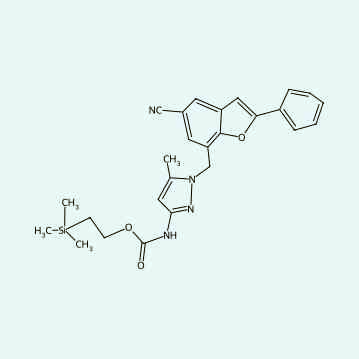 Cc1cc(NC(=O)OCC[Si](C)(C)C)nn1Cc1cc(C#N)cc2cc(-c3ccccc3)oc12